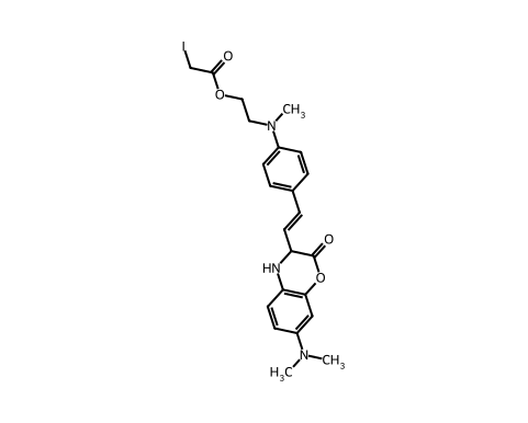 CN(C)c1ccc2c(c1)OC(=O)C(/C=C/c1ccc(N(C)CCOC(=O)CI)cc1)N2